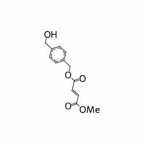 COC(=O)C=CC(=O)OCc1ccc(CO)cc1